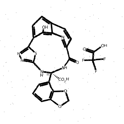 O=C(O)C(F)(F)F.O=C1N[C@@](C(=O)O)(c2cccc3c2OCO3)Nc2nnc(s2)-c2ccc3ccc1nc3c2O